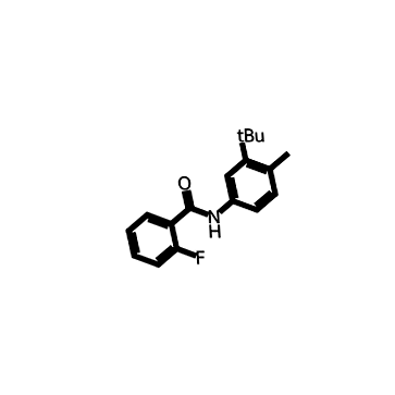 Cc1ccc(NC(=O)c2ccccc2F)cc1C(C)(C)C